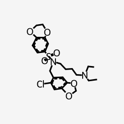 CCN(CC)CCCCN(Cc1cc2c(cc1Cl)OCO2)S(=O)(=O)c1ccc2c(c1)OCCO2